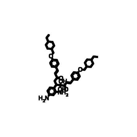 CCC1CCC(COc2ccc(/C=C/C(=O)CC(c3ccc(N)cc3N)C(O)(O)C(=O)/C=C/c3ccc(OCC4CCC(CC)CC4)cc3)cc2)CC1